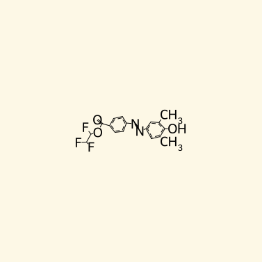 Cc1cc(N=Nc2ccc(C(=O)OC(F)C(F)F)cc2)cc(C)c1O